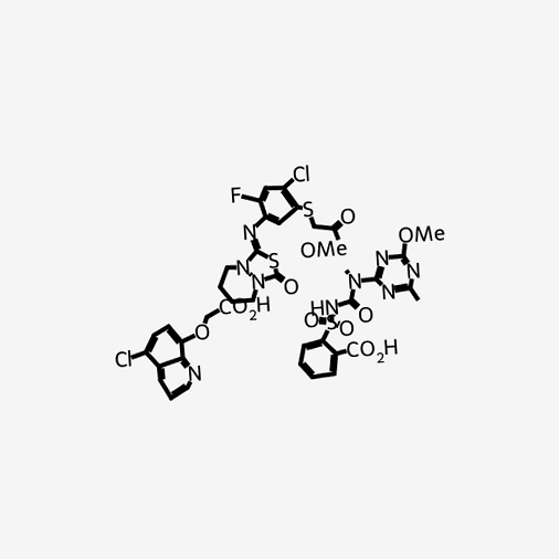 COC(=O)CSc1cc(/N=c2\sc(=O)n3n2CCCC3)c(F)cc1Cl.COc1nc(C)nc(N(C)C(=O)NS(=O)(=O)c2ccccc2C(=O)O)n1.O=C(O)COc1ccc(Cl)c2cccnc12